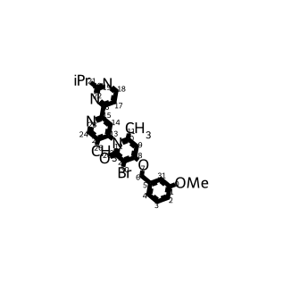 COc1cccc(COc2cc(C)n(-c3cc(-c4ccnc(C(C)C)n4)ncc3C)c(=O)c2Br)c1